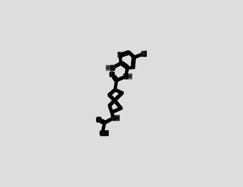 O=C(O)NC1CC2(C1)CC(C(=O)Nc1cc(Cl)cnc1O)C2